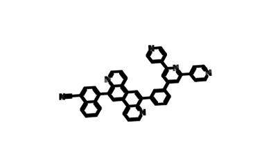 N#Cc1ccc(-c2cc3c4cccnc4c(-c4cccc(-c5cc(-c6ccncc6)nc(-c6ccncc6)c5)c4)cc3c3cccnc23)c2ccccc12